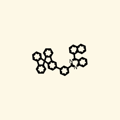 c1cc(-c2ccc3c(c2)-c2ccccc2C32c3ccccc3-c3ccccc32)cc(-c2nc(-c3cccc4ccccc34)c3ccccc3n2)c1